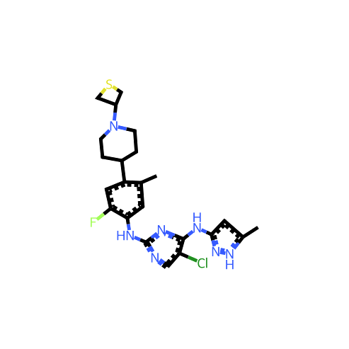 Cc1cc(Nc2nc(Nc3cc(C)c(C4CCN(C5CSC5)CC4)cc3F)ncc2Cl)n[nH]1